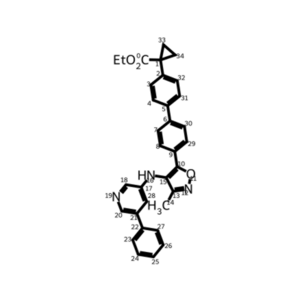 CCOC(=O)C1(c2ccc(-c3ccc(-c4onc(C)c4Nc4cncc(-c5ccccc5)c4)cc3)cc2)CC1